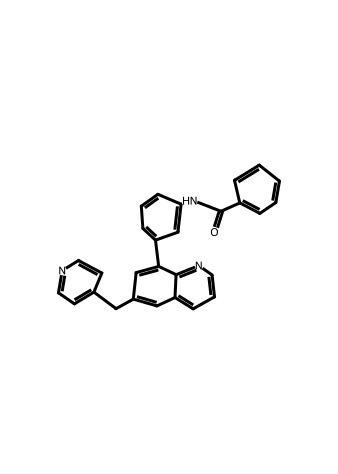 O=C(Nc1cccc(-c2cc(Cc3ccncc3)cc3cccnc23)c1)c1ccccc1